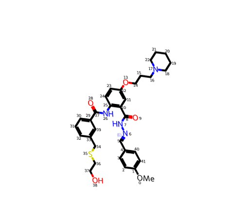 COc1ccc(/C=N/NC(=O)c2cc(OCCCN3CCCCC3)ccc2NC(=O)c2cccc(CSCCO)c2)cc1